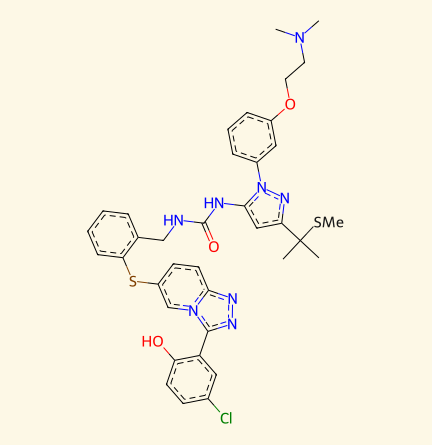 CSC(C)(C)c1cc(NC(=O)NCc2ccccc2Sc2ccc3nnc(-c4cc(Cl)ccc4O)n3c2)n(-c2cccc(OCCN(C)C)c2)n1